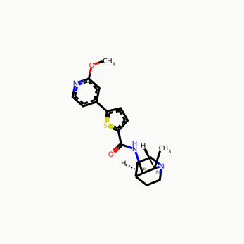 COc1cc(-c2ccc(C(=O)N[C@@H]3C4CCN(CC4)[C@H]3C)s2)ccn1